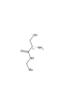 CCC(C)CNC(=O)[C@@H](N)CO